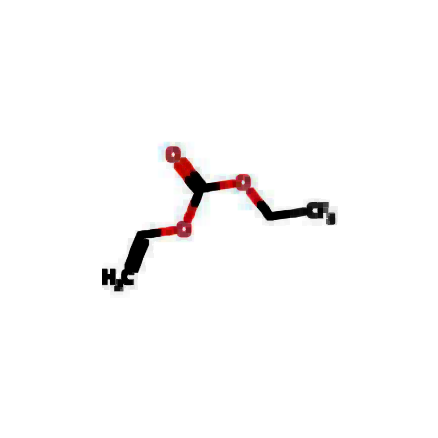 C=COC(=O)OCC(F)(F)F